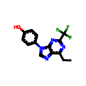 CCc1nc(C(F)(F)F)nc2c1ncn2-c1ccc(O)cc1